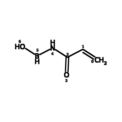 C=CC(=O)NBO